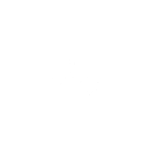 CCOC(=O)C1C(CCl)C1c1cccc(F)c1